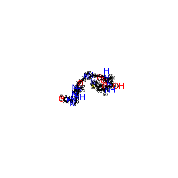 COC1CCN(c2nccc(Nc3cc4c(cn3)nc(COCCCN3CCN(CCCOCC(=O)NC(C(=O)N5C[C@H](O)C[C@H]5C(=O)NC(C)c5ccc(-c6scnc6C)cc5)C(C)(C)C)CC3)n4C(C)C)n2)CC1